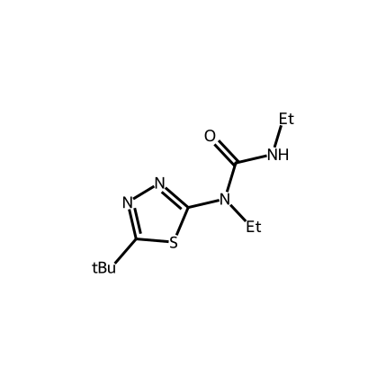 CCNC(=O)N(CC)c1nnc(C(C)(C)C)s1